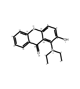 CCN(CC)c1c(O)ccc2sc3ccccc3c(=O)c12